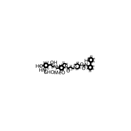 COc1cc2c(cc1CNC[C@H](O)c1ccc(O)c(NC=O)c1)CCN2C(=O)CCN1CCC(OC(=O)Nc2ccccc2-c2ccccc2)CC1